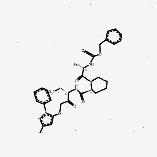 Cc1cc(OCC(=O)[C@H](CC(=O)O)NC(=O)[C@@H]2CCCCN2C(=O)[C@@H](NC(=O)OCc2ccccc2)C(C)C)n(-c2ccccc2)n1